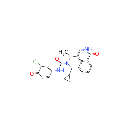 CC(c1c[nH]c(=O)c2ccccc12)N(CC1CC1)C(=O)NC1=CC(Cl)C(=O)C=C1